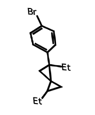 CCC1CC12CC2(CC)c1ccc(Br)cc1